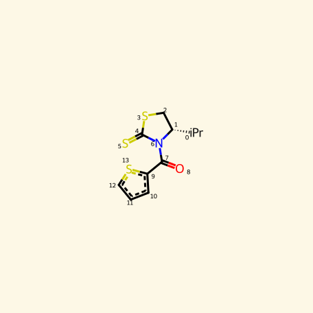 CC(C)[C@H]1CSC(=S)N1C(=O)c1cccs1